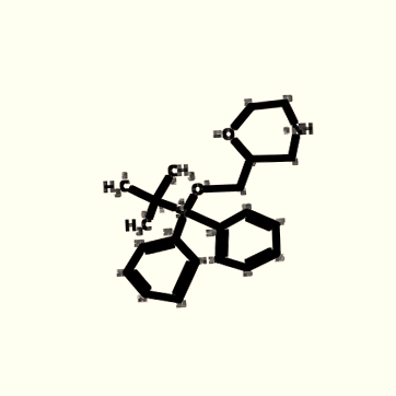 CC(C)(C)[Si](OCC1CNCCO1)(c1ccccc1)c1ccccc1